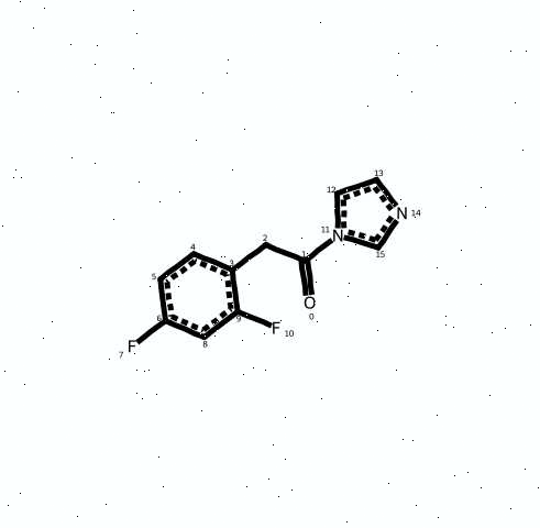 O=C(Cc1ccc(F)cc1F)n1ccnc1